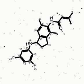 CC(C)=CC(=O)Nc1c(C)cc2c(c1C)CCC2Nc1cc(F)cc(F)c1